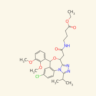 CCOC(=O)CCCNC(=O)CC1OC(c2cccc(OC)c2OC)c2cc(Cl)ccc2-n2c(C(C)C)nnc21